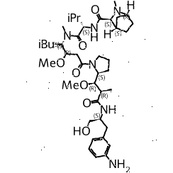 CC[C@H](C)[C@@H]([C@@H](CC(=O)N1CCC[C@H]1[C@H](OC)[C@@H](C)C(=O)N[C@H](CO)Cc1cccc(N)c1)OC)N(C)C(=O)[C@@H](NC(=O)[C@@H]1[C@H]2CC[C@H](C2)N1C)C(C)C